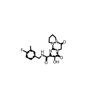 Cc1cc(CNC(=O)c2nc3n(c(=O)c2O)CC(=O)N2CCCCN32)ccc1F